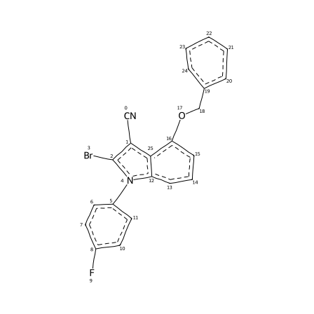 N#Cc1c(Br)n(-c2ccc(F)cc2)c2cccc(OCc3ccccc3)c12